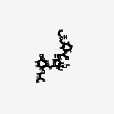 CCNCc1cccc(C(=O)Nc2cc(C)n(Cc3cc(Cl)ccc3OCC(C)C)n2)c1.Cl